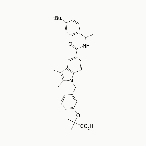 Cc1c(C)n(Cc2cccc(OC(C)(C)C(=O)O)c2)c2ccc(C(=O)NC(C)c3ccc(C(C)(C)C)cc3)cc12